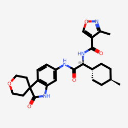 Cc1nocc1C(=O)N[C@H](C(=O)Nc1ccc2c(c1)NC(=O)C21CCOCC1)[C@H]1CC[C@H](C)CC1